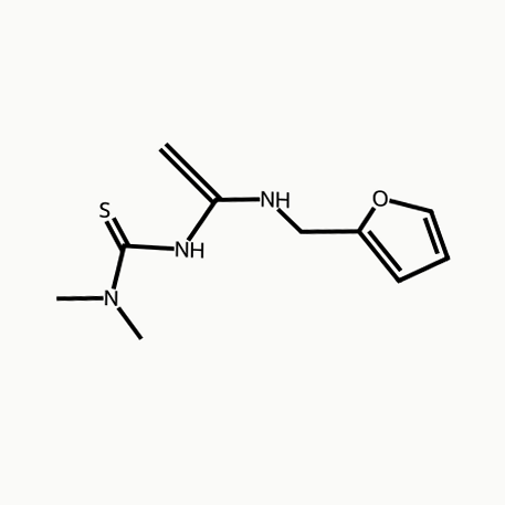 C=C(NCc1ccco1)NC(=S)N(C)C